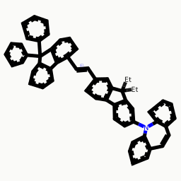 CCC1(CC)c2cc(/C=C/c3cccc4c3-c3ccccc3C4(c3ccccc3)c3ccccc3)ccc2-c2ccc(N3c4ccccc4C=Cc4ccccc43)cc21